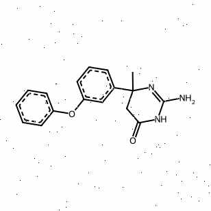 CC1(c2cccc(Oc3ccccc3)c2)CC(=O)NC(N)=N1